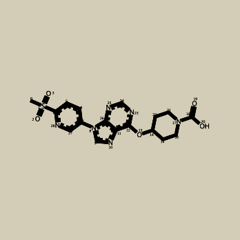 CS(=O)(=O)c1ccc(-n2cnc3c(OC4CCN(C(=O)O)CC4)ncnc32)cn1